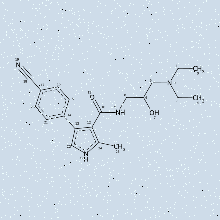 CCN(CC)CC(O)CNC(=O)c1c(-c2ccc(C#N)cc2)c[nH]c1C